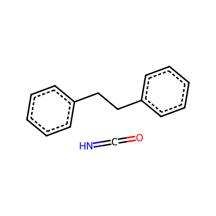 N=C=O.c1ccc(CCc2ccccc2)cc1